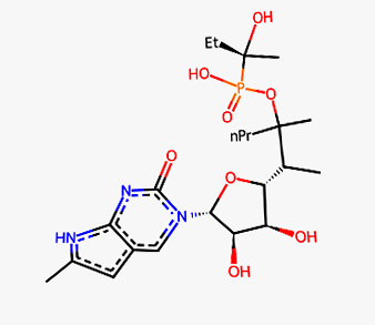 CCCC(C)(OP(=O)(O)[C@@](C)(O)CC)C(C)[C@H]1O[C@@H](n2cc3cc(C)[nH]c3nc2=O)[C@H](O)[C@@H]1O